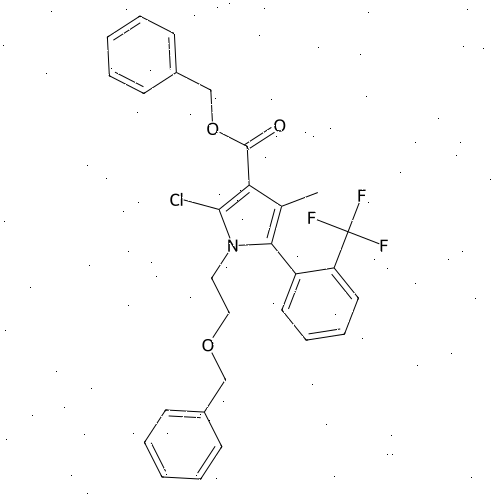 Cc1c(C(=O)OCc2ccccc2)c(Cl)n(CCOCc2ccccc2)c1-c1ccccc1C(F)(F)F